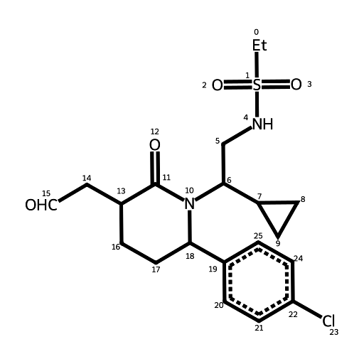 CCS(=O)(=O)NCC(C1CC1)N1C(=O)C(CC=O)CCC1c1ccc(Cl)cc1